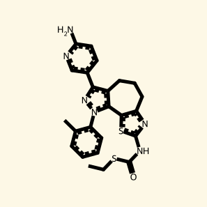 CCSC(=O)Nc1nc2c(s1)-c1c(c(-c3ccc(N)nc3)nn1-c1ccccc1C)CCC2